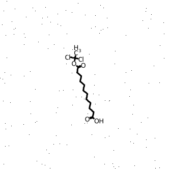 CC(Cl)(Cl)OC(=O)CCCCCCCCCCC(=O)O